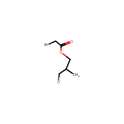 CC(C)CC(=O)OCC(C)CCl